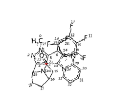 Cn1nc2c(c1-c1cc(F)c(F)c(F)c1)CC1CCC2N1C(=O)c1c(C(F)F)nc2ccccn12